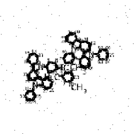 Cc1cc(C)c(B(c2ccc(-n3c4ccccc4c4ccc5c(c6ccccc6n5-c5ccccc5)c43)cc2)c2ccc(-n3c4ccccc4c4ccc5c(c6ccccc6n5-c5ccccc5)c43)cc2)c(C)c1